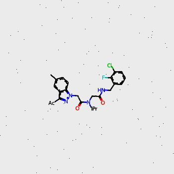 CC(=O)c1nn(CC(=O)N(CC(=O)NCc2cccc(Cl)c2F)C(C)C)c2ccc(C)cc12